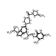 Cc1cc(C)c(CNC(O)c2cc(C3CCN(C(=O)C4CCN(C)C4)CC3)nc3c2cnn3C(C)C)c(=O)[nH]1